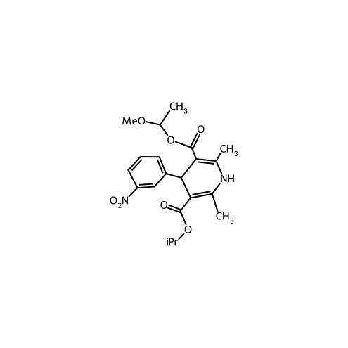 COC(C)OC(=O)C1=C(C)NC(C)=C(C(=O)OC(C)C)C1c1cccc([N+](=O)[O-])c1